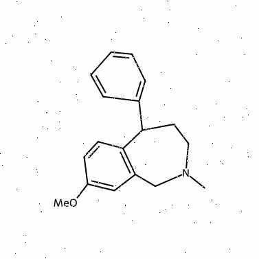 COc1ccc2c(c1)CN(C)CCC2c1ccccc1